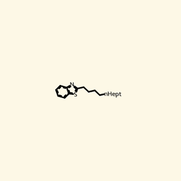 CCCCCCCCCCCc1nc2ccccc2s1